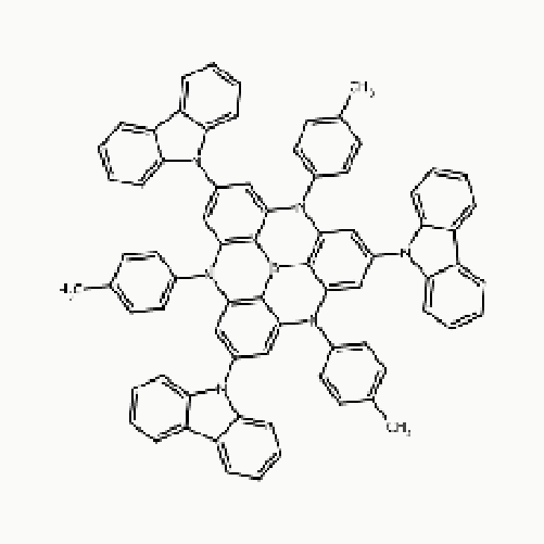 Cc1ccc(N2c3cc(-n4c5ccccc5c5ccccc54)cc4c3B3c5c2cc(-n2c6ccccc6c6ccccc62)cc5N(c2ccc(C)cc2)c2cc(-n5c6ccccc6c6ccccc65)cc(c23)N4c2ccc(C)cc2)cc1